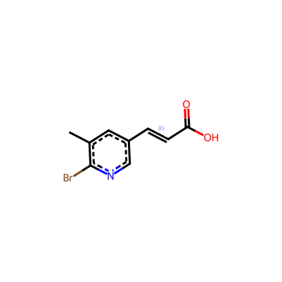 Cc1cc(/C=C/C(=O)O)cnc1Br